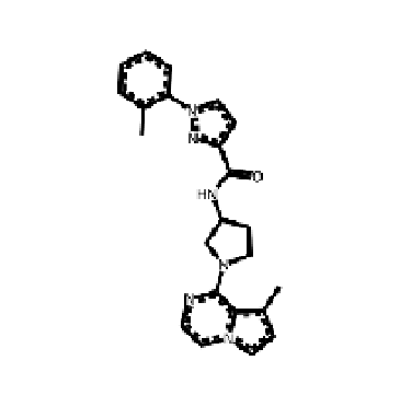 Cc1ccccc1-n1ccc(C(=O)NC2CCN(c3nccn4ccc(C)c34)C2)n1